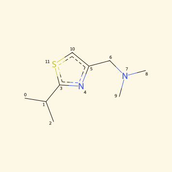 CC(C)c1nc(CN(C)C)cs1